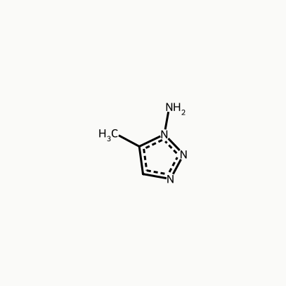 Cc1cnnn1N